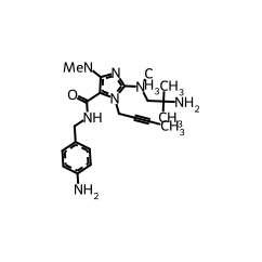 CC#CCn1c(N(C)CC(C)(C)N)nc(NC)c1C(=O)NCc1ccc(N)cc1